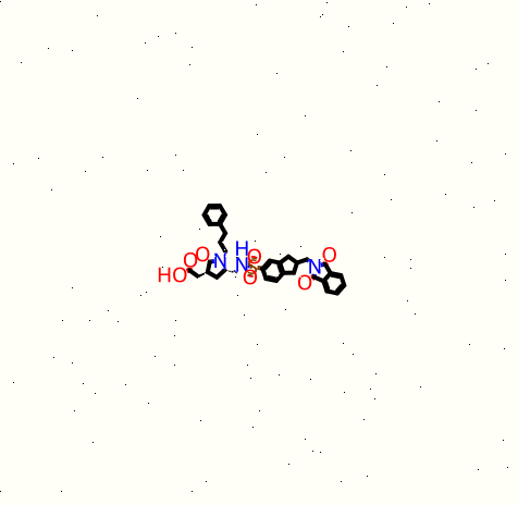 O=C(O)C[C@@H]1C[C@@H](CNS(=O)(=O)c2ccc3c(c2)CC(CN2C(=O)c4ccccc4C2=O)C3)N(CCCc2ccccc2)C1=O